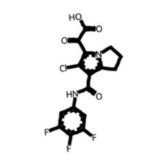 O=C(O)C(=O)c1c(Cl)c(C(=O)Nc2cc(F)c(F)c(F)c2)c2n1CCC2